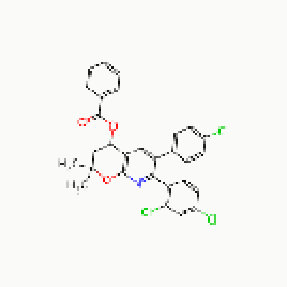 CC1(C)CC(OC(=O)c2ccccc2)c2cc(-c3ccc(Cl)cc3)c(-c3ccc(Cl)cc3Cl)nc2O1